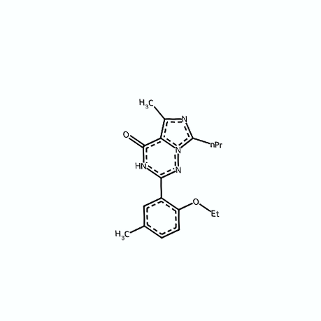 CCCc1nc(C)c2c(=O)[nH]c(-c3cc(C)ccc3OCC)nn12